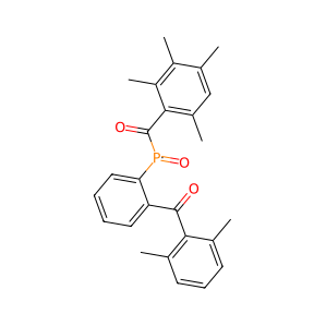 Cc1cc(C)c(C(=O)[P](=O)c2ccccc2C(=O)c2c(C)cccc2C)c(C)c1C